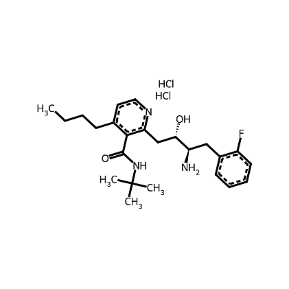 CCCCc1ccnc(C[C@H](O)[C@H](N)Cc2ccccc2F)c1C(=O)NC(C)(C)C.Cl.Cl